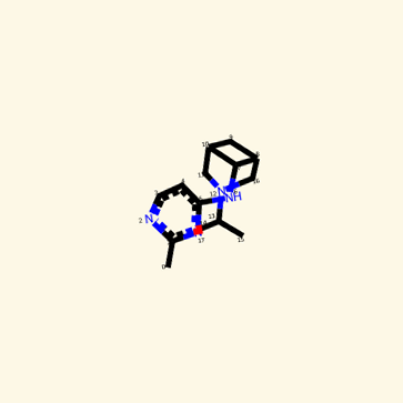 Cc1nccc(NC2C3CC2CN(C(C)C)C3)n1